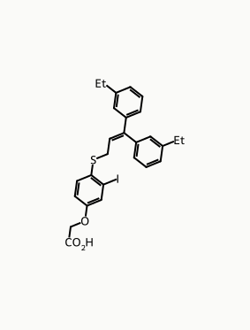 CCc1cccc(C(=CCSc2ccc(OCC(=O)O)cc2I)c2cccc(CC)c2)c1